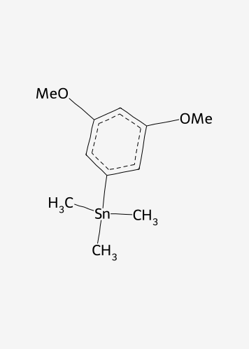 COc1cc(OC)c[c]([Sn]([CH3])([CH3])[CH3])c1